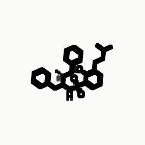 CC(C)CCc1cccc(S(=O)(=O)N[C](Cc2ccccc2)[C@H](C)Cc2ccccc2)c1O